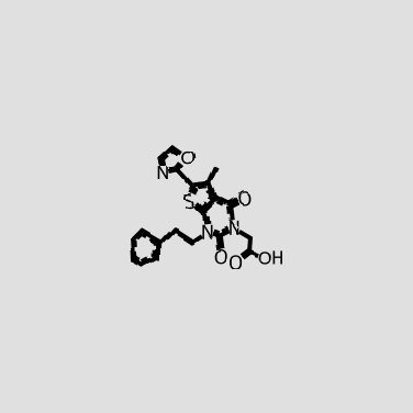 Cc1c(-c2ncco2)sc2c1c(=O)n(CC(=O)O)c(=O)n2CCc1ccccc1